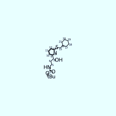 CC(C)(C)OC(=O)NCC[C@@H](O)c1cccc(SCC2CCCCC2)n1